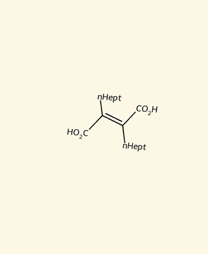 CCCCCCCC(C(=O)O)=C(CCCCCCC)C(=O)O